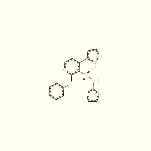 O=S(=O)(Nc1nccs1)c1c(-c2ccn[nH]2)ccnc1Oc1ccccc1